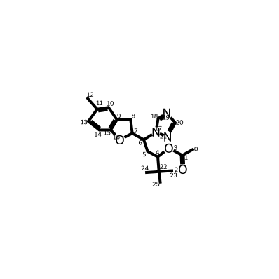 CC(=O)OC(CC(C1Cc2cc(C)ccc2O1)n1cncn1)C(C)(C)C